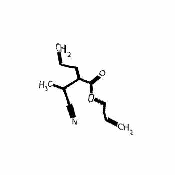 C=CCOC(=O)C(CC=C)C(C)C#N